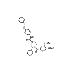 COc1ccc(C(=O)N2CCN(C(=O)Nc3ccc(OCc4ccccc4)cc3)CC2c2ccccc2)cc1OC